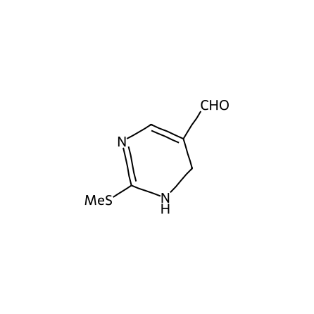 CSC1=NC=C(C=O)CN1